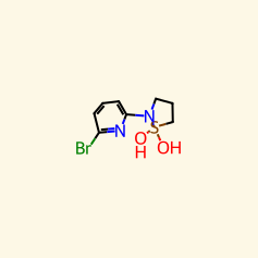 OS1(O)CCCN1c1cccc(Br)n1